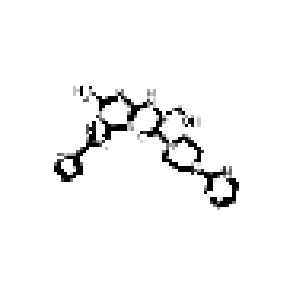 Nc1nc(N[C@@H](CO)C(=O)N2CCN(c3ncccn3)CC2)nc2nc(-c3ccco3)nn12